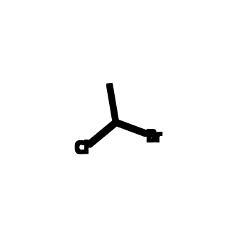 CC(Cl)Br